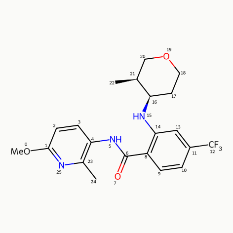 COc1ccc(NC(=O)c2ccc(C(F)(F)F)cc2N[C@@H]2CCOC[C@@H]2C)c(C)n1